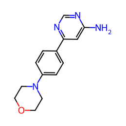 Nc1cc(-c2ccc(N3CCOCC3)cc2)ncn1